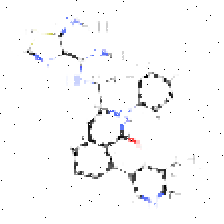 C=N/C(N[C@@H](C)c1cc2cccc(-c3cnc(C)c(C)c3)c2c(=O)n1-c1ccccc1)=C1/N=CS/C1=N/C